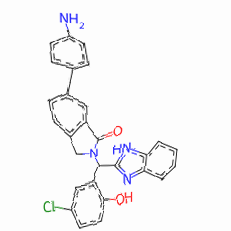 Nc1ccc(-c2ccc3c(c2)C(=O)N(C(c2nc4ccccc4[nH]2)c2cc(Cl)ccc2O)C3)cc1